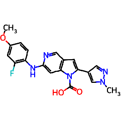 COc1ccc(Nc2cc3c(cn2)cc(-c2cnn(C)c2)n3C(=O)O)c(F)c1